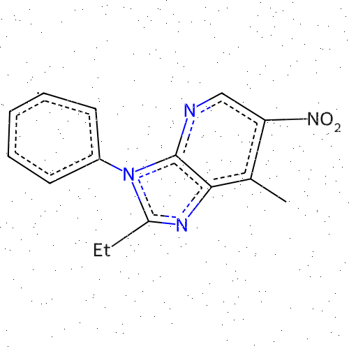 CCc1nc2c(C)c([N+](=O)[O-])cnc2n1-c1c[c]ccc1